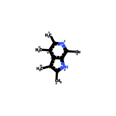 Cc1nc(C(C)(C)C)c2[nH]c(C)c(C)c2c1C